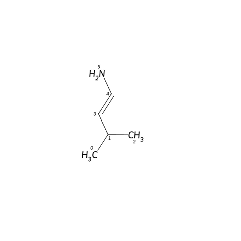 CC(C)C=CN